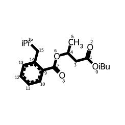 CC(C)COC(=O)CC(C)OC(=O)c1ccccc1CC(C)C